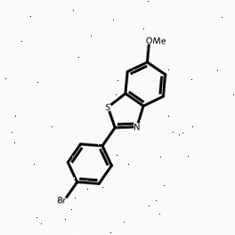 COc1ccc2nc(-c3ccc(Br)cc3)sc2c1